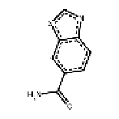 NC(=O)c1[c]c2scnc2cc1